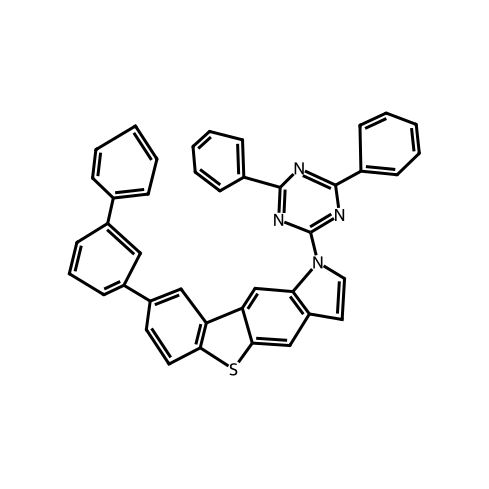 c1ccc(-c2cccc(-c3ccc4sc5cc6ccn(-c7nc(-c8ccccc8)nc(-c8ccccc8)n7)c6cc5c4c3)c2)cc1